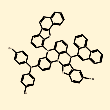 CC(C)(C)c1ccc(N(c2ccc(C(C)(C)C)cc2)c2ccc3c(c2)N(c2cccc4c2oc2c5ccccc5ccc42)c2cccc4c2B3c2sc3ccc(C(C)(C)C)cc3c2N4c2cc3ccccc3c3ccccc23)cc1